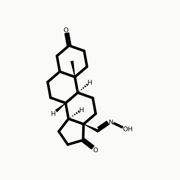 C[C@]12CCC(=O)CC1CC[C@@H]1[C@@H]2CC[C@]2(C=NO)C(=O)CC[C@@H]12